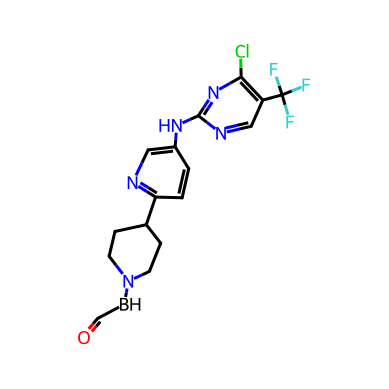 O=CBN1CCC(c2ccc(Nc3ncc(C(F)(F)F)c(Cl)n3)cn2)CC1